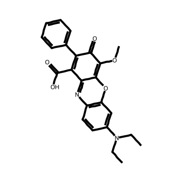 CCN(CC)c1ccc2nc3c(C(=O)O)c(-c4ccccc4)c(=O)c(OC)c-3oc2c1